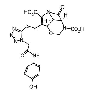 O=C(Cn1nnnc1SCC1=C(C(=O)O)N2C(=O)[C@@H]3[C@H]2C1OCN3C(=O)O)Nc1ccc(O)cc1